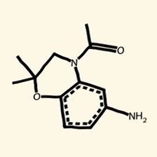 CC(=O)N1CC(C)(C)Oc2ccc(N)cc21